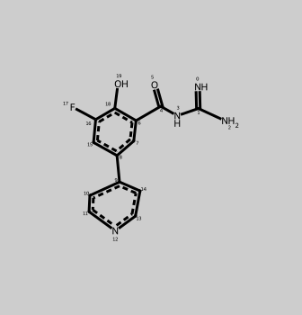 N=C(N)NC(=O)c1cc(-c2ccncc2)cc(F)c1O